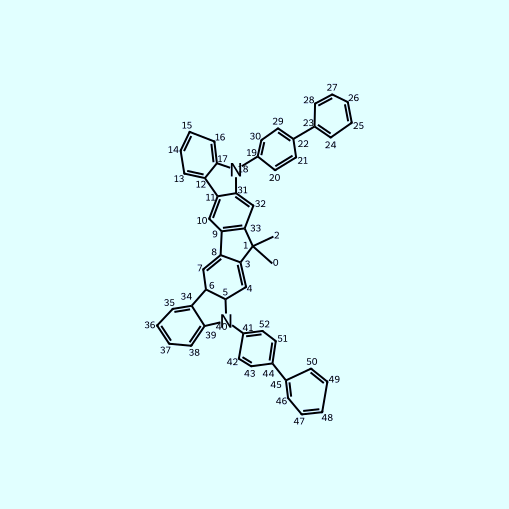 CC1(C)C2=CC3C(C=C2c2cc4c5ccccc5n(-c5ccc(-c6ccccc6)cc5)c4cc21)c1ccccc1N3c1ccc(-c2ccccc2)cc1